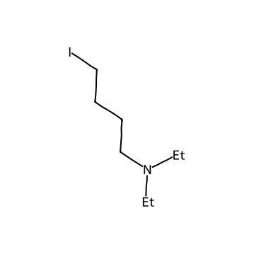 CCN(CC)CCCCI